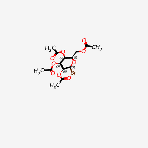 CC(=O)OC[C@H]1O[C@@H](Br)[C@H](OC(C)=O)[C@@H](OC(C)=O)[C@H]1OC(C)=O